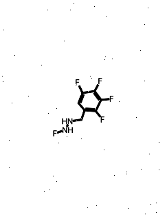 FNNCc1cc(F)c(F)c(F)c1F